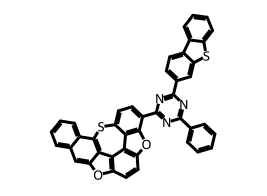 c1ccc(-c2nc(-c3ccc4c(c3)sc3ccccc34)nc(-c3ccc4sc5c6ccccc6cc6oc7ccc8oc3c4c8c7c65)n2)cc1